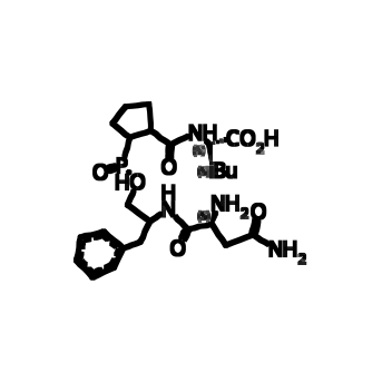 CC[C@H](C)[C@H](NC(=O)C1CCCC1[PH](=O)OCC(Cc1ccccc1)NC(=O)[C@@H](N)CC(N)=O)C(=O)O